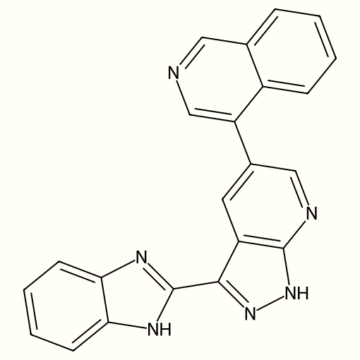 c1ccc2c(-c3cnc4[nH]nc(-c5nc6ccccc6[nH]5)c4c3)cncc2c1